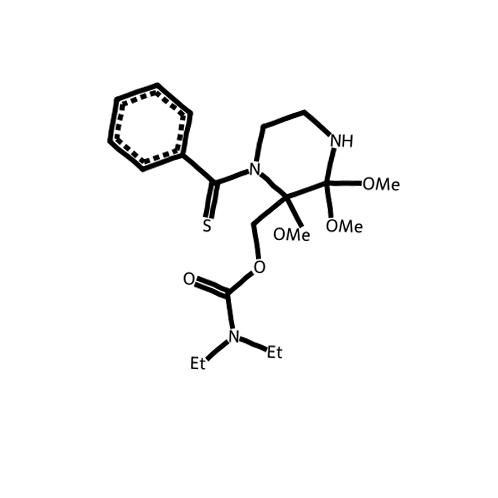 CCN(CC)C(=O)OCC1(OC)N(C(=S)c2ccccc2)CCNC1(OC)OC